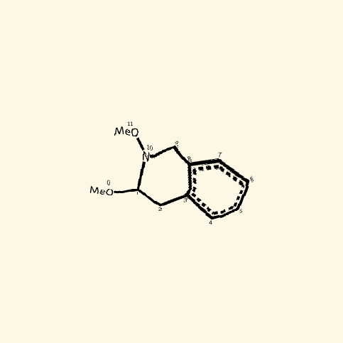 COC1Cc2ccccc2[C]N1OC